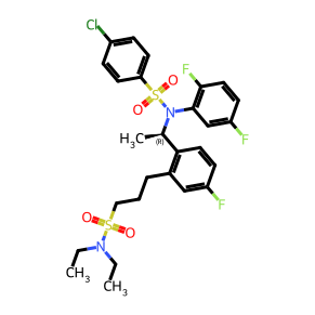 CCN(CC)S(=O)(=O)CCCc1cc(F)ccc1[C@@H](C)N(c1cc(F)ccc1F)S(=O)(=O)c1ccc(Cl)cc1